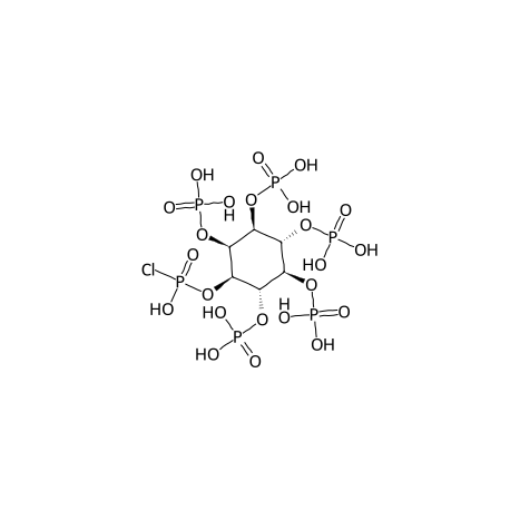 O=P(O)(O)O[C@@H]1[C@@H](OP(=O)(O)O)[C@H](OP(=O)(O)O)[C@@H](OP(=O)(O)Cl)[C@@H](OP(=O)(O)O)[C@H]1OP(=O)(O)O